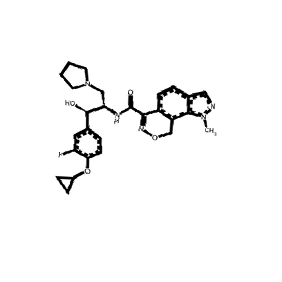 Cn1ncc2ccc3c(c21)CON=C3C(=O)N[C@H](CN1CCCC1)[C@H](O)c1ccc(OC2CC2)c(F)c1